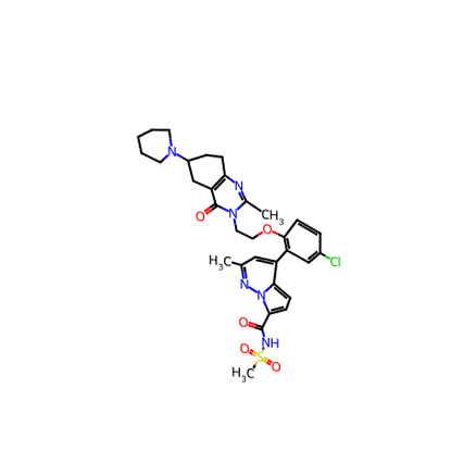 Cc1cc(-c2cc(Cl)ccc2OCCn2c(C)nc3c(c2=O)CC(N2CCCCC2)CC3)c2ccc(C(=O)NS(C)(=O)=O)n2n1